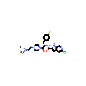 CN(C)CCN1CCN(C(=O)[C@H](Cc2ccc(F)cc2)NC(=O)c2cc3cc(Cl)ncc3[nH]2)CC1